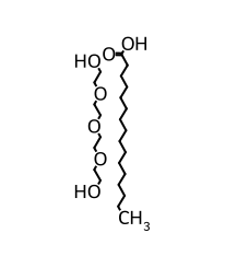 CCCCCCCCCCCCCCCC(=O)O.OCCOCCOCCOCCO